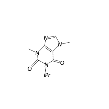 CC(C)n1c(=O)c2c(ncn2C)n(C)c1=O